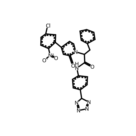 O=C(Nc1ccc(C2N=NN=N2)cc1)C(Cc1ccccc1)n1ccc(-c2cc(Cl)ccc2[N+](=O)[O-])cc1=O